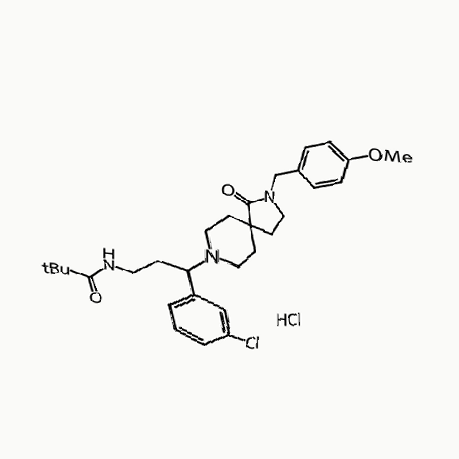 COc1ccc(CN2CCC3(CCN(C(CCNC(=O)C(C)(C)C)c4cccc(Cl)c4)CC3)C2=O)cc1.Cl